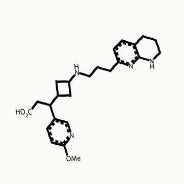 COc1ccc(C(CC(=O)O)C2CC(NCCCc3ccc4c(n3)NCCC4)C2)cn1